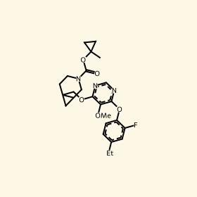 CCc1ccc(Oc2ncnc(OCC34CCN(C(=O)OC5(C)CC5)CC3C4)c2OC)c(F)c1